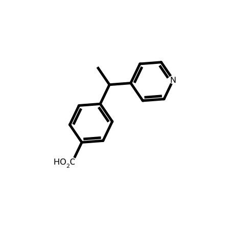 CC(c1ccncc1)c1ccc(C(=O)O)cc1